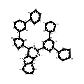 c1ccc(-c2cccc(-c3cccc(-c4nc(-c5cc(-c6ccccc6)cc(-c6ccccc6)c5)nc5c4sc4ccccc45)c3)c2)cc1